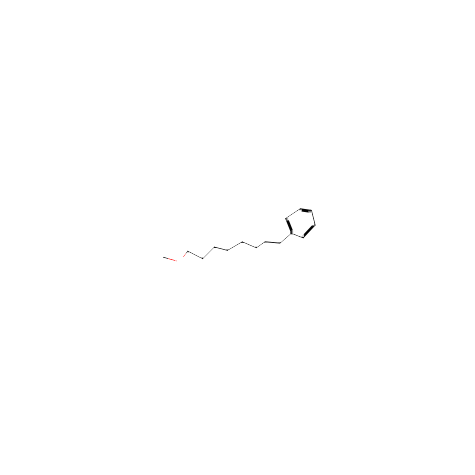 [CH2]OCCCCCCCCc1ccccc1